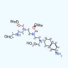 COOCN(CCNCC=O)CCN(CCN(CC(=O)O)[C@@H]1CCc2ccc(N)cc2C1)COOC